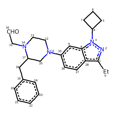 CCc1nn(C2CCC2)c2cc(N3CCN(CC=O)C(Cc4ccccc4)C3)ccc12